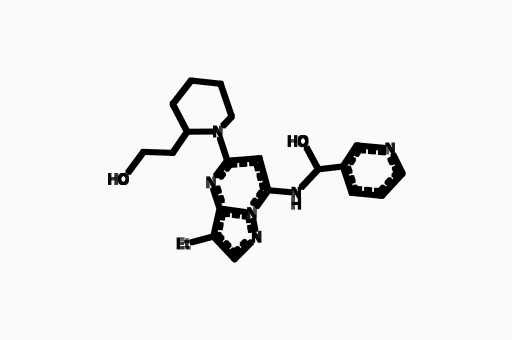 CCc1cnn2c(NC(O)c3cccnc3)cc(N3CCCCC3CCO)nc12